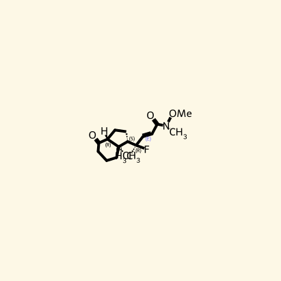 CON(C)C(=O)/C=C/[C@@](C)(F)[C@H]1CC[C@H]2C(=O)CCC[C@@]21C